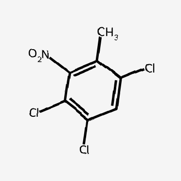 Cc1c(Cl)cc(Cl)c(Cl)c1[N+](=O)[O-]